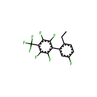 CCc1ccc(F)cc1-c1c(F)c(F)c(C(F)(F)F)c(F)c1F